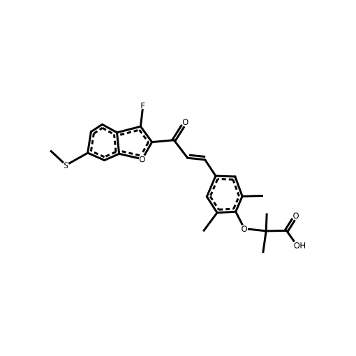 CSc1ccc2c(F)c(C(=O)/C=C/c3cc(C)c(OC(C)(C)C(=O)O)c(C)c3)oc2c1